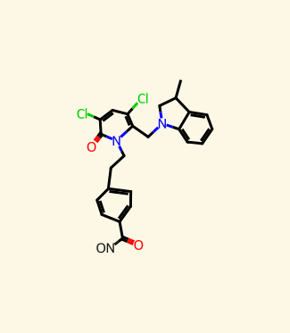 CC1CN(Cc2c(Cl)cc(Cl)c(=O)n2CCc2ccc(C(=O)N=O)cc2)c2ccccc21